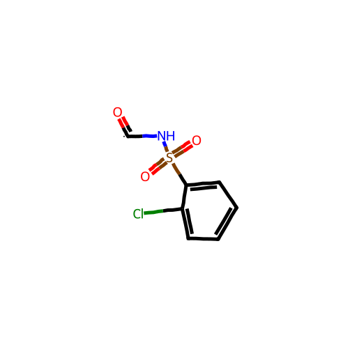 O=[C]NS(=O)(=O)c1ccccc1Cl